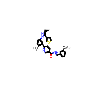 COc1cccc(CNC(=O)c2ccc(-c3cc(NC(=C4CC4)c4ccsc4)ccc3C)nc2)c1